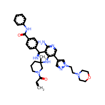 C=CC(=O)N1CCCC(C)(Nc2c(-c3cnn(CCN4CCOCC4)c3)cnc(N)c2C(=N)c2ccc(C(=O)Nc3ccccc3)cc2)C1